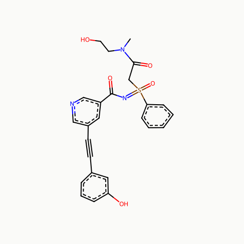 CN(CCO)C(=O)CS(=O)(=NC(=O)c1cncc(C#Cc2cccc(O)c2)c1)c1ccccc1